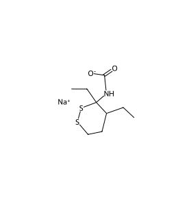 CCC1CCSSC1(CC)NC(=O)[O-].[Na+]